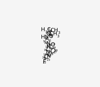 CC(C)(C)OC(=O)N[C@H]1CCN(C(=O)N2CCN(c3ccc(F)cn3)c3ccccc32)C1